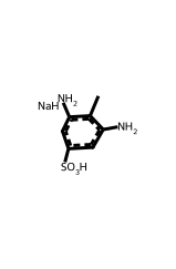 Cc1c(N)cc(S(=O)(=O)O)cc1N.[NaH]